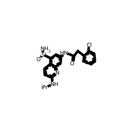 CC(C)Nc1ccc2c([S+](N)[O-])cc(NC(=O)Cc3ccccc3Cl)cc2n1